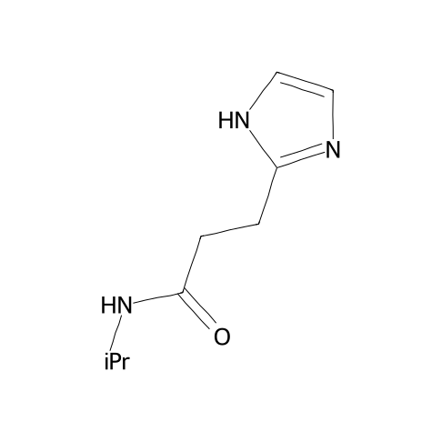 CC(C)NC(=O)CCc1ncc[nH]1